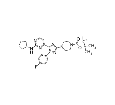 CC(C)(C)OC(=O)N1CCN(c2nc(-c3ccc(F)cc3)c(-c3ccnc(NC4CCCC4)n3)s2)CC1